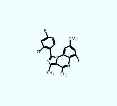 COc1cc(F)c2nc(C)c3c(C)nc(-c4ccc(F)cc4Cl)n3c2c1